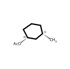 CC(=O)O[C@@H]1CCC[C@H](C)C1